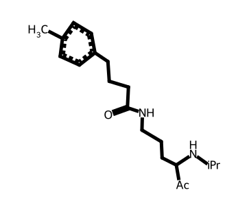 CC(=O)C(CCCNC(=O)CCCc1ccc(C)cc1)NC(C)C